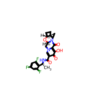 C[C@@H](NC(=O)c1cn2c(c(O)c1=O)C(=O)N1C3C[C@@]34CC[C@H]4O[C@@H]1C2)c1c(F)cc(F)cc1F